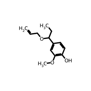 C=CCOC(CC)c1ccc(O)c(OC)c1